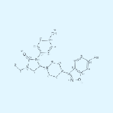 CCN1CC(N2CCC(c3noc4cc(F)ccc34)CC2)N(c2ccc(O)cc2)C1=O